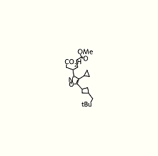 COC(=O)CCC(CC(=O)O)c1noc(C2CC(CC(C)(C)C)C2)c1C1CC1